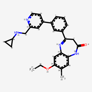 O=C1CC(c2cccc(-c3ccnc(CNC4CC4)c3)c2)=Nc2cc(OCC(F)(F)F)c(C(F)(F)F)cc2N1